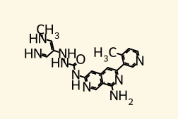 CN/C=C(\C=N)NNC(=O)Nc1cc2cc(-c3cnccc3C)nc(N)c2cn1